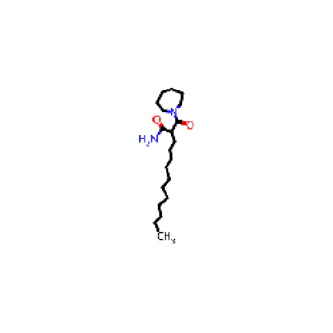 CCCCCCCCCCCC(C(N)=O)C(=O)N1CCCCCC1